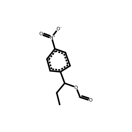 CCC(O[C]=O)c1ccc([N+](=O)[O-])cc1